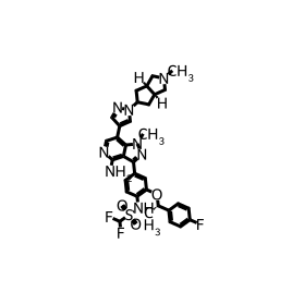 C[C@H](Oc1cc(-c2nn(C)c3c(-c4cnn(C5C[C@@H]6CN(C)C[C@@H]6C5)c4)cnc(N)c23)ccc1NS(=O)(=O)C(F)F)c1ccc(F)cc1